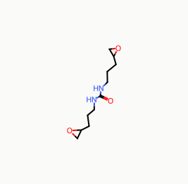 O=C(NCCCC1CO1)NCCCC1CO1